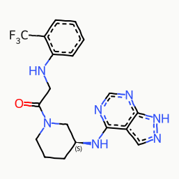 O=C(CNc1ccccc1C(F)(F)F)N1CCC[C@H](Nc2ncnc3[nH]ncc23)C1